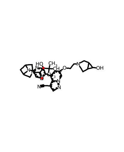 CC(C)(C)C(O)C(=O)N1CC2CC(C1)N2c1cnc(-c2cc(OCCN3CC4C(O)C4C3)cn3ncc(C#N)c23)cn1